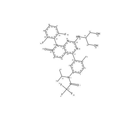 Cc1ccc(N(C(=O)C(F)(F)F)C(C)C)cc1-c1nc(NC(CO)CO)nc2c1ccc(=O)n2-c1c(F)cccc1F